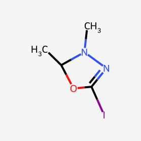 CC1OC(I)=NN1C